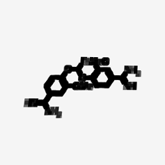 CCC(Oc1ccc(C(=N)N)cc1OC)Oc1ccc(C(=N)N)cc1OC